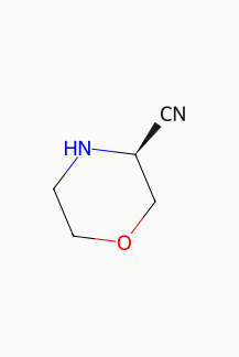 N#C[C@H]1COCCN1